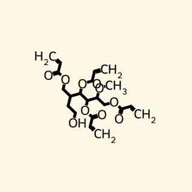 C=CC(=O)OCC(CCO)C(OC(=O)C=C)C(OC(=O)C=C)C(COC(=O)C=C)OC